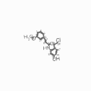 COc1cccc(C=CC(=O)Nc2cc(O)ccc2CCCl)c1